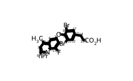 CCCc1cc(C)c2cc(Oc3c(Br)cc(CCC(=O)O)cc3Br)cc(F)c2n1